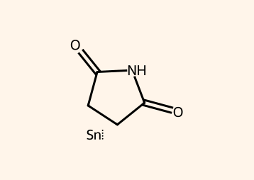 O=C1CCC(=O)N1.[Sn]